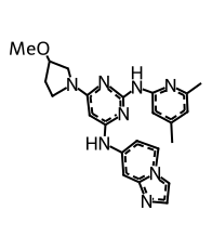 COC1CCN(c2cc(Nc3ccn4ccnc4c3)nc(Nc3cc(C)cc(C)n3)n2)C1